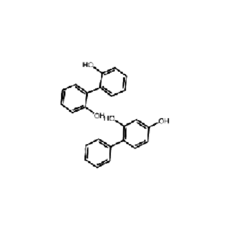 Oc1ccc(-c2ccccc2)c(O)c1.Oc1ccccc1-c1ccccc1O